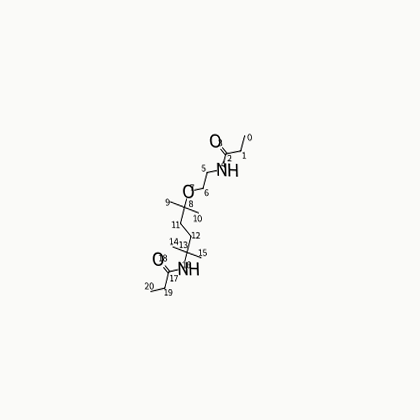 CCC(=O)NCCOC(C)(C)CCC(C)(C)NC(=O)CC